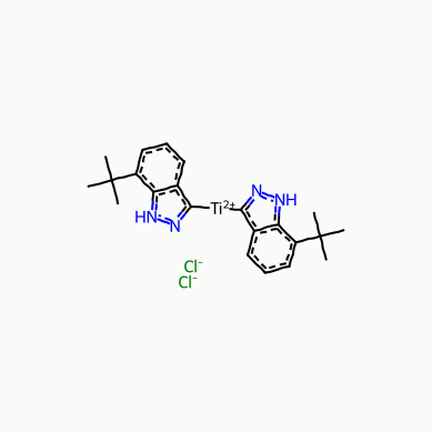 CC(C)(C)c1cccc2[c]([Ti+2][c]3n[nH]c4c(C(C)(C)C)cccc34)n[nH]c12.[Cl-].[Cl-]